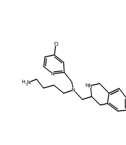 NCCCCN(Cc1cc(Cl)ccn1)CC1Cc2ccccc2CN1